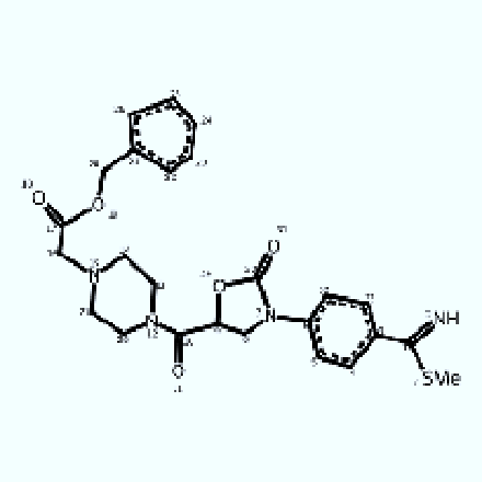 CSC(=N)c1ccc(N2CC(C(=O)N3CCN(CC(=O)OCc4ccccc4)CC3)OC2=O)cc1